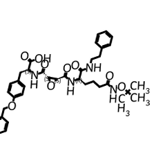 CC(C)(C)ONC(=O)CCC[C@@H](NC(=O)[C@H]1O[C@@H]1C(=O)N[C@@H](Cc1ccc(OCc2ccccc2)cc1)C(=O)O)C(=O)NCCc1ccccc1